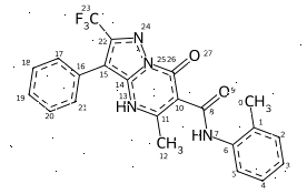 Cc1ccccc1NC(=O)c1c(C)[nH]c2c(-c3ccccc3)c(C(F)(F)F)nn2c1=O